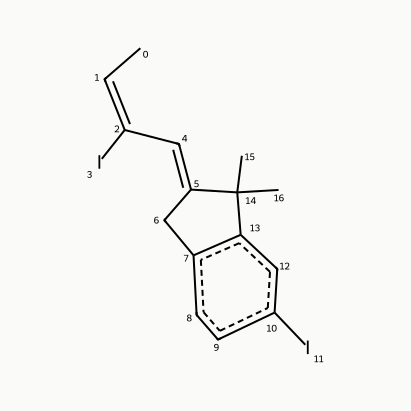 C/C=C(I)\C=C1/Cc2ccc(I)cc2C1(C)C